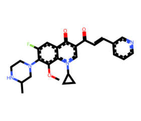 COc1c(N2CCNC(C)C2)c(F)cc2c(=O)c(C(=O)C=Cc3cccnc3)cn(C3CC3)c12